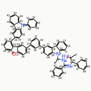 CC(I)[C@H](/N=C(\NC(C)n1c2ccccc2c2cc(-c3cccc(-c4ccc5oc6cccc(-c7ccc8c(c7)c7ccccc7n8-c7ccccc7)c6c5c4)c3)ccc21)c1ccccc1)c1ccccc1